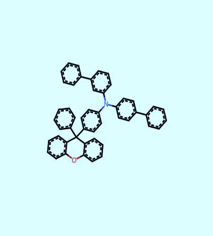 c1ccc(-c2ccc(N(c3ccc(C4(c5ccccc5)c5ccccc5Oc5ccccc54)cc3)c3cccc(-c4ccccc4)c3)cc2)cc1